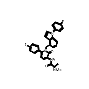 CNC(C)C(=O)Nc1ccc(-c2ccc(F)cc2)n(Cc2cccc3c2ccn3-c2ccc(F)cc2)c1=O